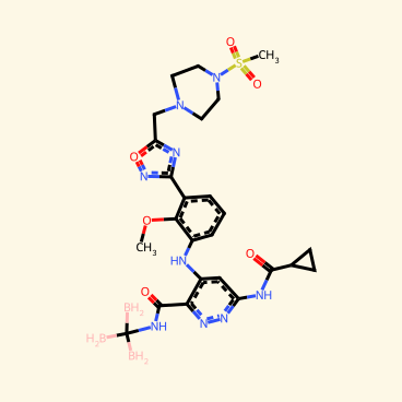 BC(B)(B)NC(=O)c1nnc(NC(=O)C2CC2)cc1Nc1cccc(-c2noc(CN3CCN(S(C)(=O)=O)CC3)n2)c1OC